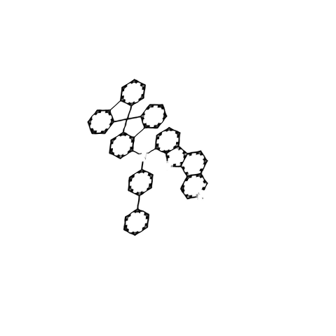 c1ccc(-c2ccc(N(c3cccc4c3-c3ccccc3C43c4ccccc4-c4ccccc43)c3cccc4c3oc3c5ccncc5ccc43)cc2)cc1